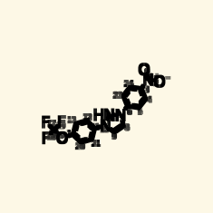 O=[N+]([O-])c1ccc(N2C=CN(c3ccc(OC(F)(F)F)cc3)N2)cc1